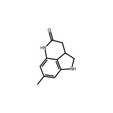 Cc1cc2c3c(c1)NC(=O)CC3CN2